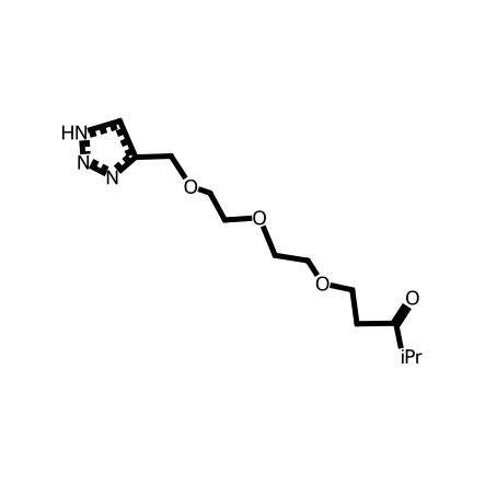 CC(C)C(=O)CCOCCOCCOCc1c[nH]nn1